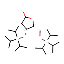 CC(C)[Si](OC[C@H]1OC(O)C[C@@H]1O[Si](C(C)C)(C(C)C)C(C)C)(C(C)C)C(C)C